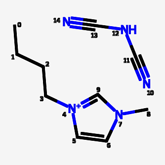 CCCC[n+]1ccn(C)c1.N#CNC#N